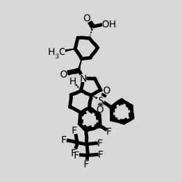 C[C@H]1C[C@H](C(=O)O)CC[C@H]1C(=O)N1CC[C@@]2(S(=O)(=O)c3ccccc3)c3cc(F)c(C(F)(C(F)(F)F)C(F)(F)F)cc3CC[C@@H]12